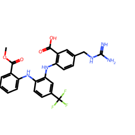 COC(=O)c1ccccc1Nc1ccc(C(F)(F)F)cc1Nc1ccc(CNC(=N)N)cc1C(=O)O